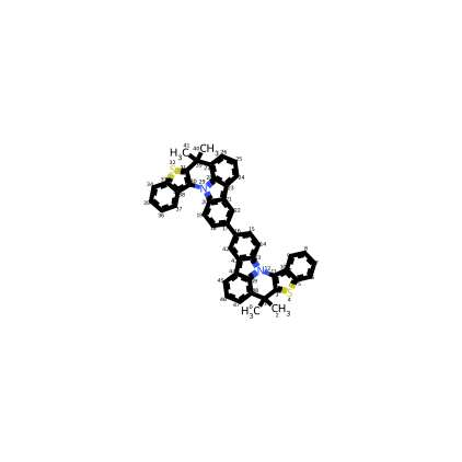 CC1(C)c2sc3ccccc3c2-n2c3ccc(-c4ccc5c(c4)c4cccc6c4n5-c4c(sc5ccccc45)C6(C)C)cc3c3cccc1c32